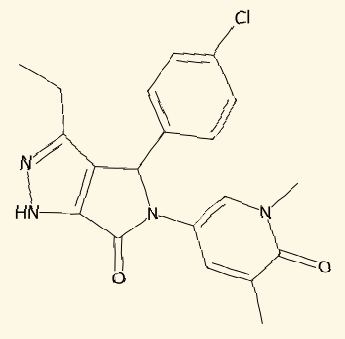 CCc1n[nH]c2c1C(c1ccc(Cl)cc1)N(c1cc(C)c(=O)n(C)c1)C2=O